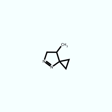 CC1CN=NC12CC2